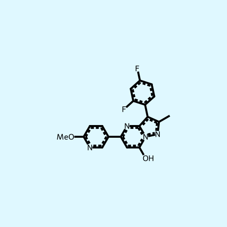 COc1ccc(-c2cc(O)n3nc(C)c(-c4ccc(F)cc4F)c3n2)cn1